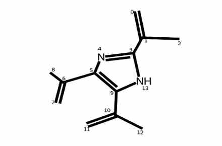 C=C(C)c1nc(C(=C)C)c(C(=C)C)[nH]1